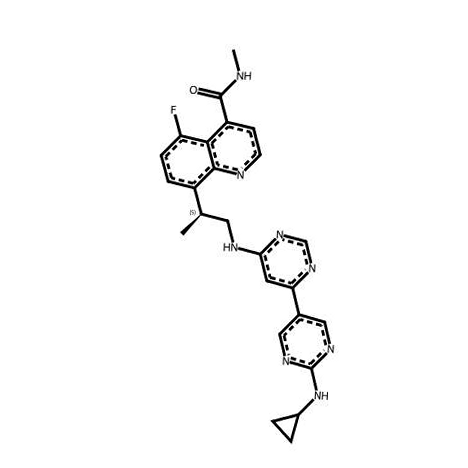 CNC(=O)c1ccnc2c([C@H](C)CNc3cc(-c4cnc(NC5CC5)nc4)ncn3)ccc(F)c12